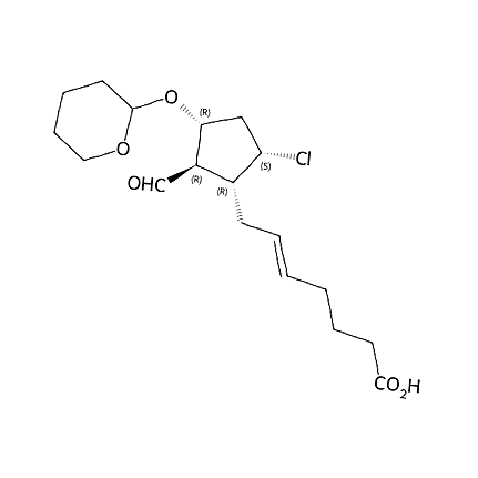 O=C[C@@H]1[C@@H](CC=CCCCC(=O)O)[C@@H](Cl)C[C@H]1OC1CCCCO1